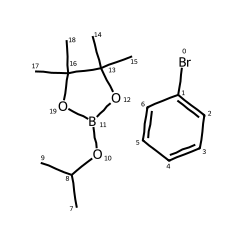 Brc1ccccc1.CC(C)OB1OC(C)(C)C(C)(C)O1